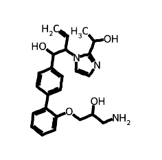 C=CC(C(O)c1ccc(-c2ccccc2OCC(O)CN)cc1)n1ccnc1C(C)O